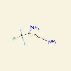 NCCC(N)C(F)(F)F